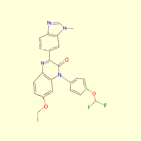 CCOc1ccc2nc(-c3ccc4ncn(C)c4c3)c(=O)n(-c3ccc(OC(F)F)cc3)c2c1